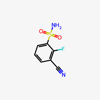 N#Cc1cccc(S(N)(=O)=O)c1F